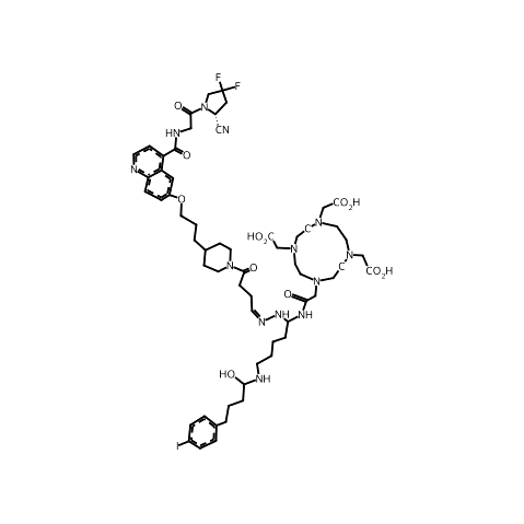 N#C[C@H]1CC(F)(F)CN1C(=O)CNC(=O)c1ccnc2ccc(OCCCC3CCN(C(=O)CC/C=N\NC(CCCCNC(O)CCCc4ccc(I)cc4)NC(=O)CN4CCN(CC(=O)O)CCN(CC(=O)O)CCN(CC(=O)O)CC4)CC3)cc12